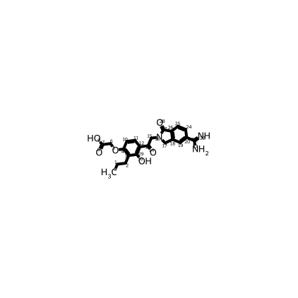 CCCc1c(OCC(=O)O)ccc(C(=O)CN2Cc3cc(C(=N)N)ccc3C2=O)c1O